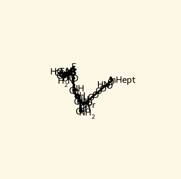 C=CC(CCCCCCC)OCC(=O)NCCOCCOCCOCCOCCC(=O)N[C@H](C(=O)N[C@@H](CCCNC(N)=O)C(=O)Nc1ccc(COC(=O)NCCCC[C@H](N)C(=O)N[C@H]2CCc3c(C)c(F)cc4nc5c(c2c34)Cn2c-5cc3c(c2=O)COC(=O)[C@]3(O)CC)cc1)C(C)C